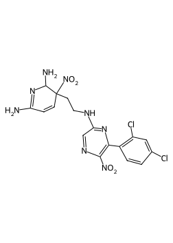 NC1=NC(N)C(CCNc2cnc([N+](=O)[O-])c(-c3ccc(Cl)cc3Cl)n2)([N+](=O)[O-])C=C1